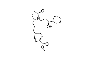 COC(=O)c1ccc(CCCC2CCC(=O)N2CC[C@H](O)C2CCCCC2)cc1